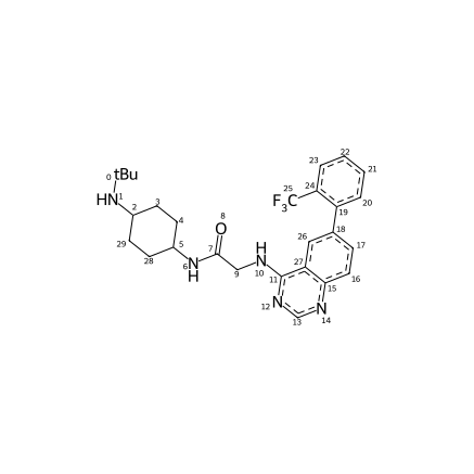 CC(C)(C)NC1CCC(NC(=O)CNc2ncnc3ccc(-c4ccccc4C(F)(F)F)cc23)CC1